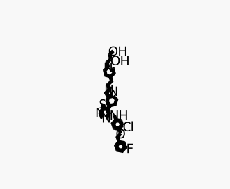 OCC(O)CN1CCC(CCn2cc3c(n2)CCc2c-3sc3ncnc(Nc4ccc(OCc5cccc(F)c5)c(Cl)c4)c23)CC1